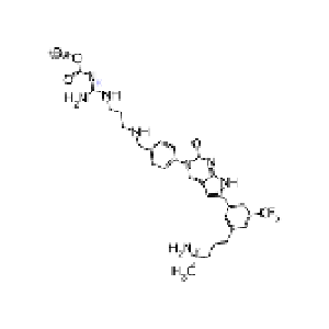 C[C@H](N)CCCc1cc(-c2cc3cn(-c4ccc(CNCCCN/C(N)=N/C(=O)OC(C)(C)C)cc4)c(=O)nc3[nH]2)cc(C(F)(F)F)c1